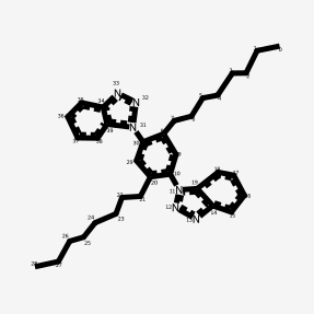 CCCCCCCCc1cc(-n2nnc3ccccc32)c(CCCCCCCC)cc1-n1nnc2ccccc21